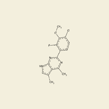 COc1c(Cl)ccc(-c2nc(C)c3c(C)c[nH]c3n2)c1F